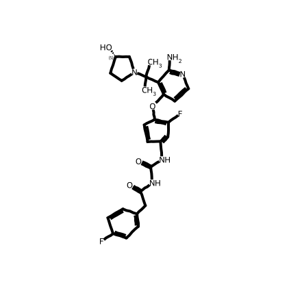 CC(C)(c1c(Oc2ccc(NC(=O)NC(=O)Cc3ccc(F)cc3)cc2F)ccnc1N)N1CC[C@H](O)C1